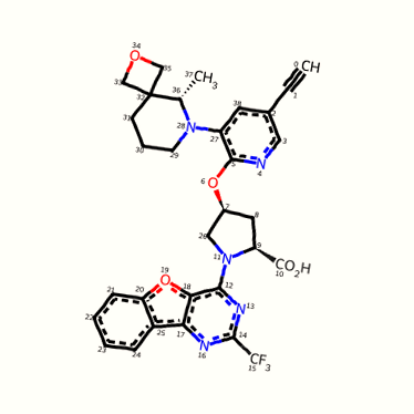 C#Cc1cnc(O[C@H]2C[C@@H](C(=O)O)N(c3nc(C(F)(F)F)nc4c3oc3ccccc34)C2)c(N2CCCC3(COC3)[C@@H]2C)c1